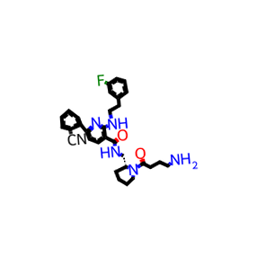 N#Cc1ccccc1-c1ccc(C(=O)NC[C@H]2CCCCN2C(=O)CCCN)c(NCCc2cccc(F)c2)n1